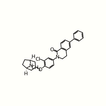 CN1[C@@H]2CC[C@H]1C[C@@H](Oc1ccc(N3CCc4cc(-c5ccccc5)ccc4C3=O)cc1Cl)C2